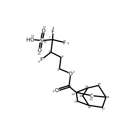 O=C(OCCC(F)C(F)(F)S(=O)(=O)O)C12CC3CC(CC1C3)C2